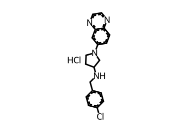 Cl.Clc1ccc(CNC2CCN(c3ccc4nccnc4c3)C2)cc1